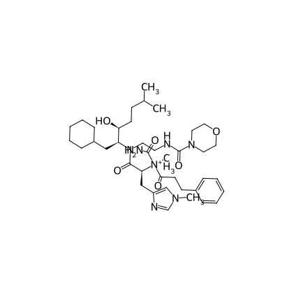 CC(C)CC[C@H](O)[C@H](CC1CCCCC1)N(CCNC(=O)N1CCOCC1)C(=O)[C@H](Cc1cn(C)cn1)[N+](C)(C(N)=O)C(=O)CCc1ccccc1